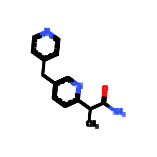 CC(C(N)=O)c1ccc(Cc2ccncc2)cn1